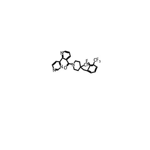 N#CC1(Cc2cccc(C(F)(F)F)c2F)CCN(C(=O)c2cccnc2-c2ccncn2)CC1